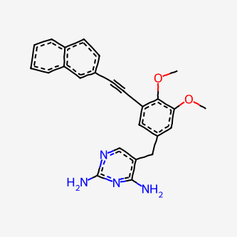 COc1cc(Cc2cnc(N)nc2N)cc(C#Cc2ccc3ccccc3c2)c1OC